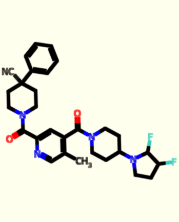 Cc1cnc(C(=O)N2CCC(C#N)(c3ccccc3)CC2)cc1C(=O)N1CCC(N2CCC(F)C2F)CC1